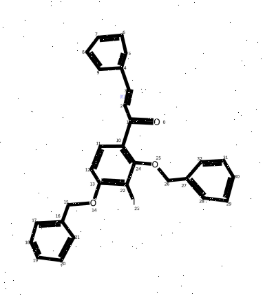 O=C(/C=C/c1ccccc1)c1ccc(OCc2ccccc2)c(I)c1OCc1ccccc1